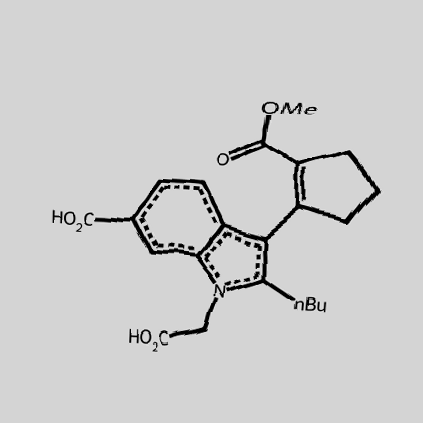 CCCCc1c(C2=C(C(=O)OC)CCC2)c2ccc(C(=O)O)cc2n1CC(=O)O